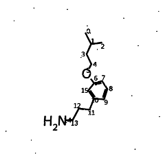 CC(C)CCOc1cccc(CCCN)c1